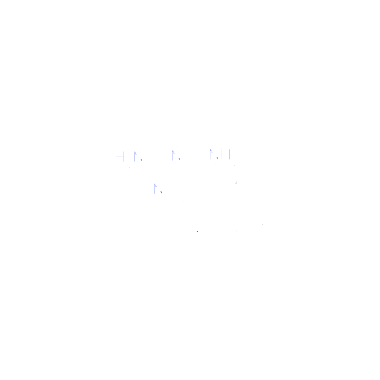 Nc1nc(N)c2c(n1)CCc1ccccc1-2